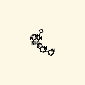 Nc1nccn2c(C3CCC3)nc(-c3ccc4ccc(-c5cccnc5)nc4c3)c12